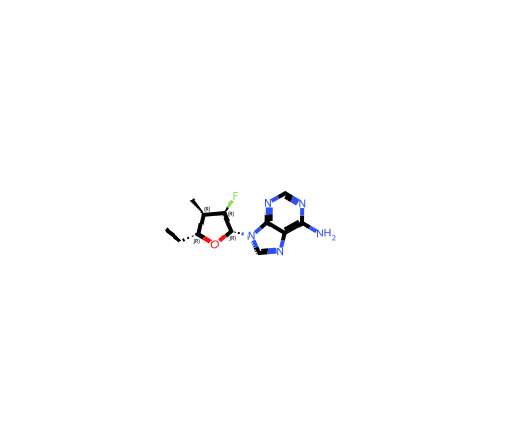 CC[C@H]1O[C@@H](n2cnc3c(N)ncnc32)[C@H](F)[C@@H]1C